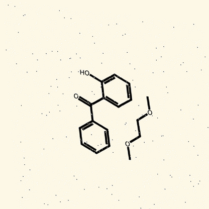 COCCOC.O=C(c1ccccc1)c1ccccc1O